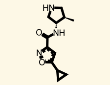 C[C@@H]1CNC[C@H]1NC(=O)c1cc(C2CC2)on1